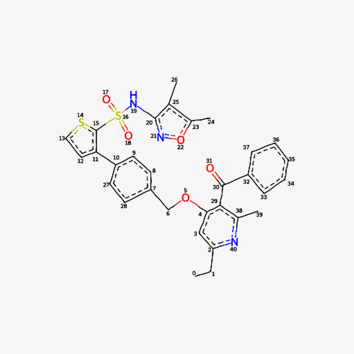 CCc1cc(OCc2ccc(-c3ccsc3S(=O)(=O)Nc3noc(C)c3C)cc2)c(C(=O)c2ccccc2)c(C)n1